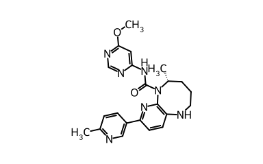 COc1cc(NC(=O)N2c3nc(-c4ccc(C)nc4)ccc3NCCC[C@H]2C)ncn1